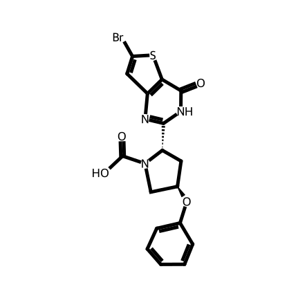 O=C(O)N1C[C@H](Oc2ccccc2)C[C@H]1c1nc2cc(Br)sc2c(=O)[nH]1